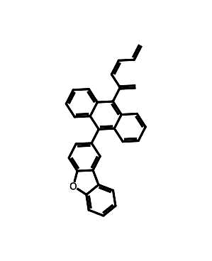 C=C/C=C\C(=C)c1c2ccccc2c(-c2ccc3oc4ccccc4c3c2)c2ccccc12